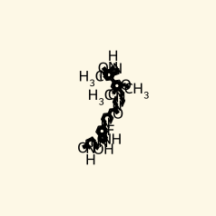 COc1cc(-c2cn(C)c(=O)c3[nH]ncc23)cc(OC)c1CN1CCN(C(=O)CC2CCN(c3ccc4c(N5CCC(=O)NC5O)n[nH]c4c3F)CC2)CC1